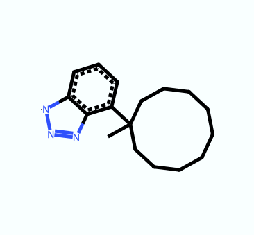 CC1(c2cccc3c2N=N[N]3)CCCCCCCCC1